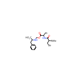 CNC(CC(C)C)C(=O)NC(C(=O)OCNC(Cc1ccccc1)C(=O)O)C(C)C